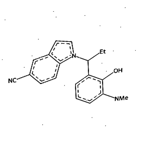 CCC(c1cccc(NC)c1O)n1ccc2cc(C#N)ccc21